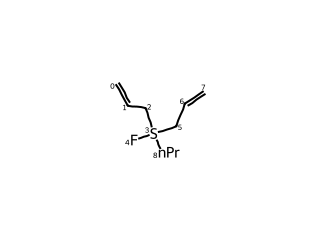 C=CCS(F)(CC=C)CCC